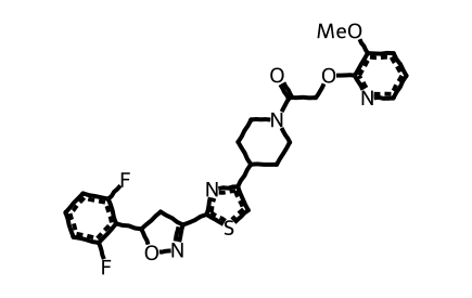 COc1cccnc1OCC(=O)N1CCC(c2csc(C3=NOC(c4c(F)cccc4F)C3)n2)CC1